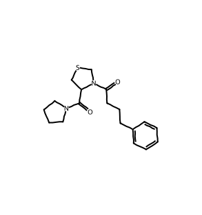 O=C(C1CSCN1C(=O)CCCc1ccccc1)N1CCCC1